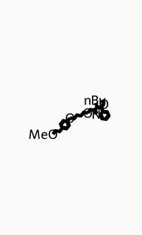 CCCCOc1c(C)c(COCCCCOc2ccc(CCOC)cc2)nc2ccccc12